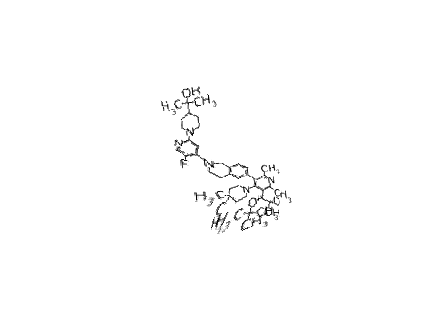 Cc1nc(C)c([C@H](OC(C)(C)C)C(=O)O)c(N2CCC(C)(C)CC2)c1-c1ccc2c(c1)CCN(c1cc(N3CCC(C(C)(C)O)CC3)ncc1F)C2